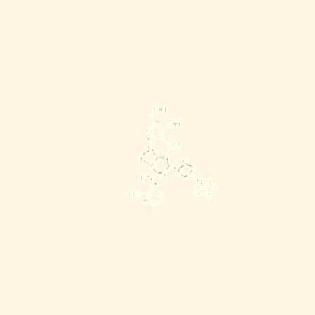 CN(C=O)c1cnn(-c2nc(N[C@@H]3CCC[C@H]3O)c3ncn([C@@H]4O[C@H](CO)C(O)C4O)c3n2)c1